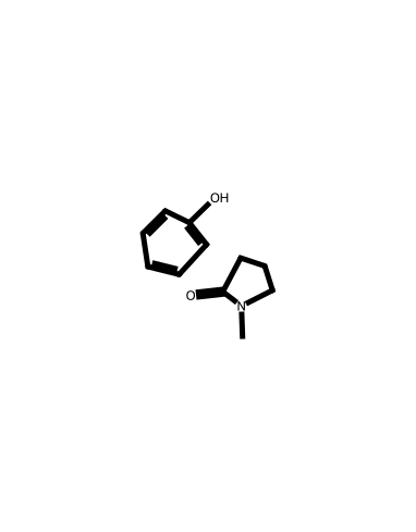 CN1CCCC1=O.Oc1ccccc1